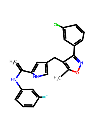 C=C(Nc1cccc(F)c1)c1cc(Cc2c(-c3cccc(Cl)c3)noc2C)c[nH]1